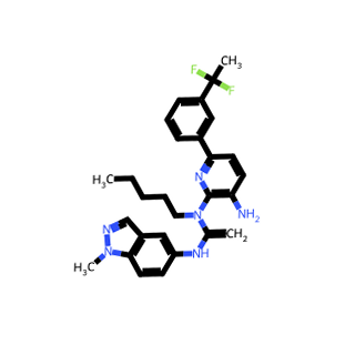 C=C(Nc1ccc2c(cnn2C)c1)N(CCCCC)c1nc(-c2cccc(C(C)(F)F)c2)ccc1N